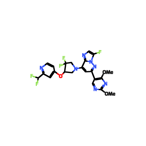 COc1ncc(-c2cc(N3CC(Oc4ccnc(C(F)F)c4)C(F)(F)C3)c3ncc(F)n3n2)c(OC)n1